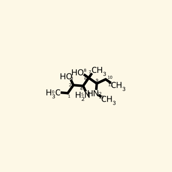 CCC(O)C(N)C(C)(O)C(CC)NC